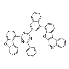 c1ccc(-c2nc(-c3cc(-c4cccc5c4oc4cnc6ccccc6c45)c4ccccc4c3)nc(-c3cccc4oc5ccccc5c34)n2)cc1